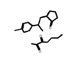 CC1=CCC(C(C)CC2CCCC2=O)CC1.CCCCC(=O)C(C)=O